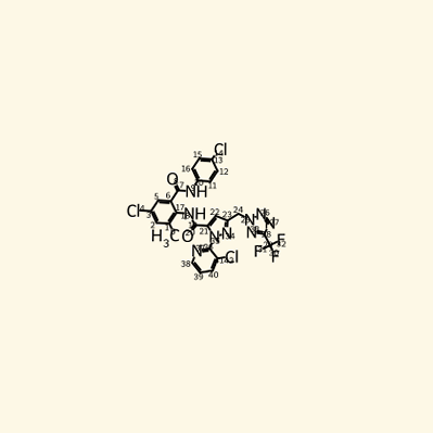 Cc1cc(Cl)cc(C(=O)Nc2ccc(Cl)cc2)c1NC(=O)c1cc(Cn2nnc(C(F)(F)F)n2)nn1-c1ncccc1Cl